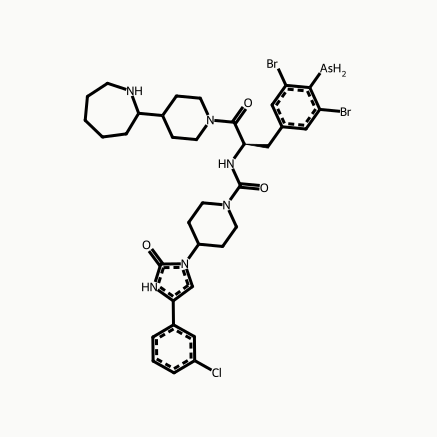 O=C(N[C@H](Cc1cc(Br)c([AsH2])c(Br)c1)C(=O)N1CCC(C2CCCCCN2)CC1)N1CCC(n2cc(-c3cccc(Cl)c3)[nH]c2=O)CC1